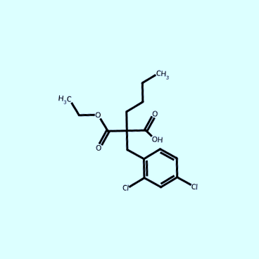 CCCCC(Cc1ccc(Cl)cc1Cl)(C(=O)O)C(=O)OCC